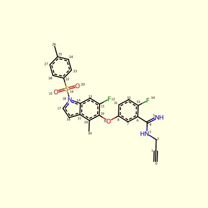 C#CCNC(=N)c1cc(Oc2c(F)cc3c(ccn3S(=O)(=O)c3ccc(C)cc3)c2C)ccc1F